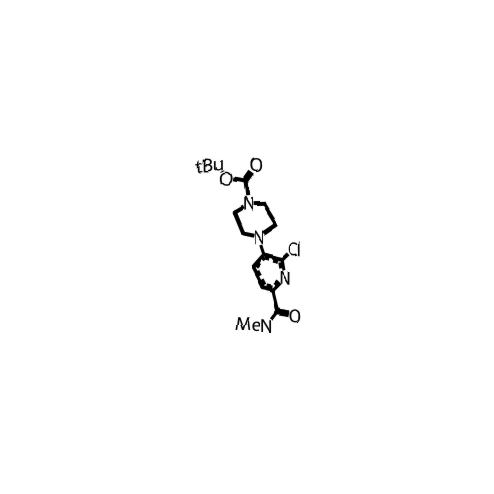 CNC(=O)c1ccc(N2CCN(C(=O)OC(C)(C)C)CC2)c(Cl)n1